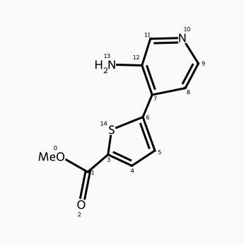 COC(=O)c1ccc(-c2ccncc2N)s1